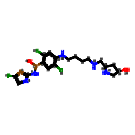 [O-][S+](Nc1ncc(F)s1)c1cc(Cl)c(NCCCCNC[C@H]2C[C@H](O)CN2)cc1F